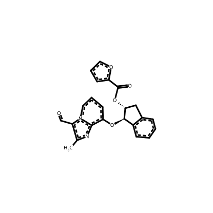 Cc1nc2c(O[C@@H]3c4ccccc4C[C@H]3OC(=O)c3ccco3)cccn2c1C=O